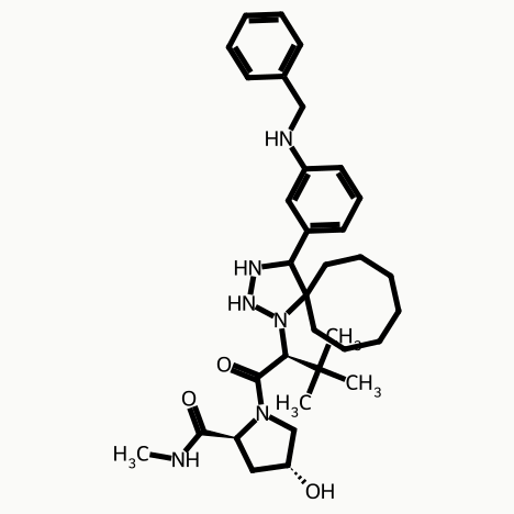 CNC(=O)[C@@H]1C[C@@H](O)CN1C(=O)[C@@H](N1NNC(c2cccc(NCc3ccccc3)c2)C12CCCCCCC2)C(C)(C)C